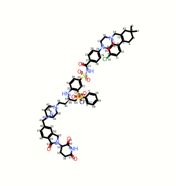 CC1(C)CCC(c2ccc(Cl)cc2)=C(CN2CCN(c3ccc(C(=O)NS(=O)(=O)c4ccc(N[C@H](CCN5CC6CCC5CN6Cc5ccc6c(c5)CN(C5CCC(=O)NC5=O)C6=O)CSc5ccccc5)c(S(=O)(=O)C(F)(F)F)c4)cc3)CC2)C1